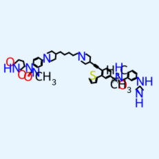 Cc1ccc(NC2CNC2)cc1C(=O)N[C@H](C)c1ccc(C#CC2CCN(CCCCCC3CCN(c4ccc5c(c4)n(C)c(=O)n5C4CCC(=O)NC4=O)CC3)CC2)c(-c2cccs2)c1